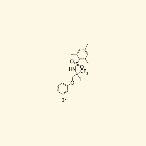 Cc1cc(C)c(S(=O)(=O)NC(I)(COc2cccc(Br)c2)C(F)(F)F)c(C)c1